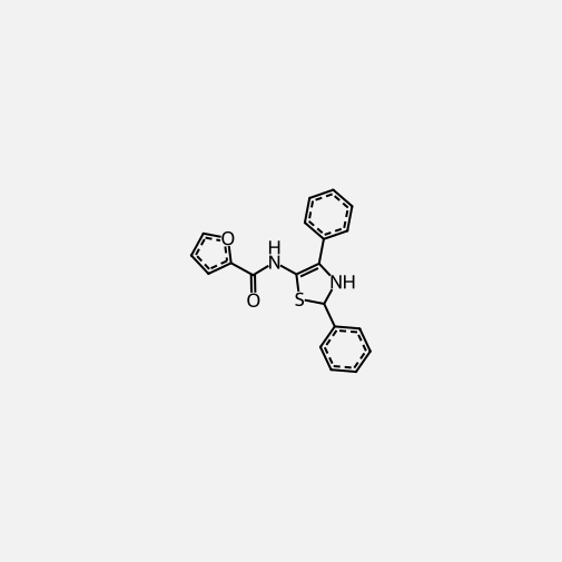 O=C(NC1=C(c2ccccc2)NC(c2ccccc2)S1)c1ccco1